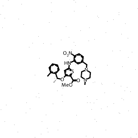 COC(=O)c1sc(Nc2cc(CN3CCN(C)CC3)ccc2[N+](=O)[O-])cc1O[C@H](C)c1ccccc1C